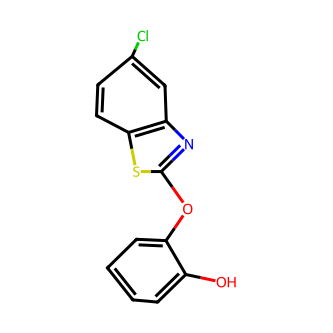 Oc1ccccc1Oc1nc2cc(Cl)ccc2s1